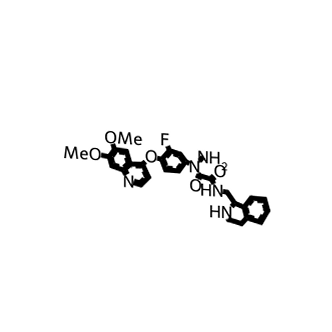 COc1cc2nccc(Oc3ccc(N(N)C(=O)C(=O)NCC4NCCc5ccccc54)cc3F)c2cc1OC